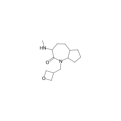 CNC1CCC2CCCC2N(CC2COC2)C1=O